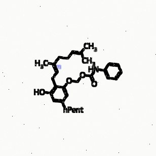 CCCCCc1cc(O)c(C/C=C(\C)CCC=C(C)C)c(OCOC(=O)Nc2ccccc2)c1